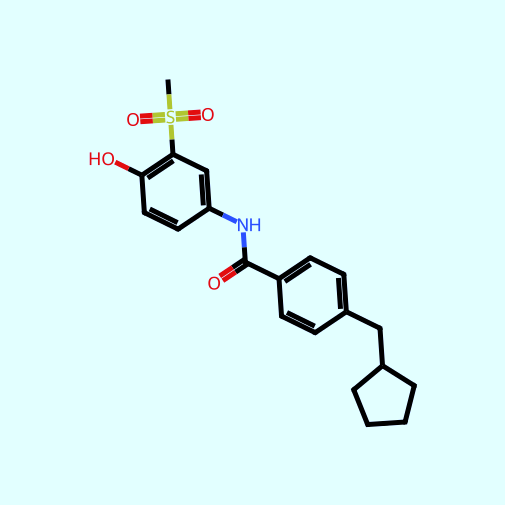 CS(=O)(=O)c1cc(NC(=O)c2ccc(CC3CCCC3)cc2)ccc1O